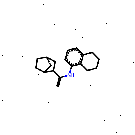 C=C(Nc1cccc2c1CCCC2)C1CC2CCC1C2